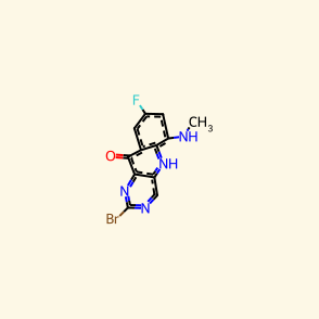 CNc1cc(F)cc2c(=O)c3nc(Br)ncc3[nH]c12